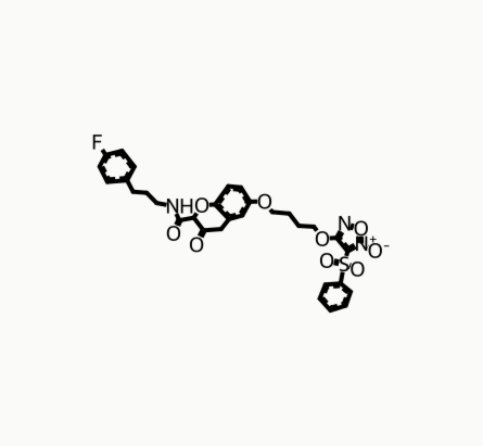 O=C1Cc2cc(OCCCCOc3no[n+]([O-])c3S(=O)(=O)c3ccccc3)ccc2OC1C(=O)NCCCc1ccc(F)cc1